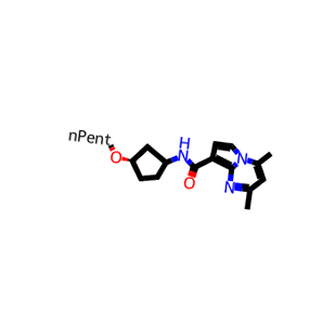 CCCCCO[C@@H]1CCC(NC(=O)c2ccn3c(C)cc(C)nc23)C1